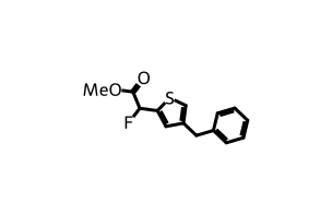 COC(=O)C(F)c1cc(Cc2ccccc2)cs1